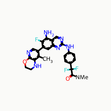 CNC(=O)C(F)(F)c1ccc(Nc2ncc3c(N)c(F)c(-c4cnc5c(c4C)NCCO5)cc3n2)cc1